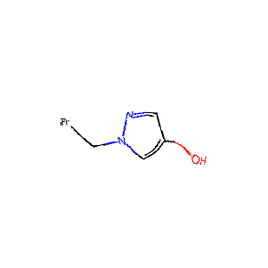 CC(C)Cn1cc(O)cn1